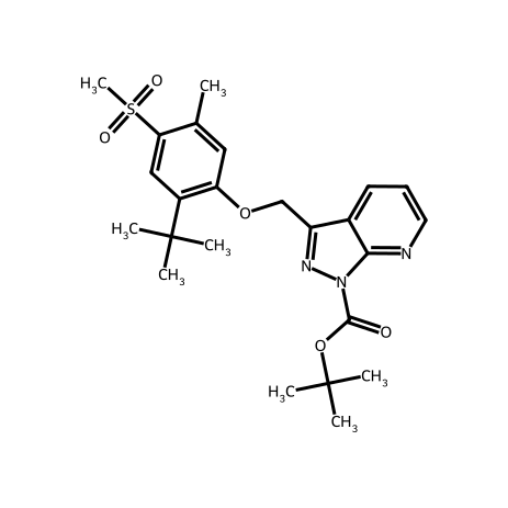 Cc1cc(OCc2nn(C(=O)OC(C)(C)C)c3ncccc23)c(C(C)(C)C)cc1S(C)(=O)=O